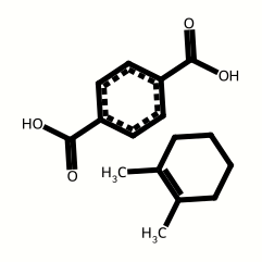 CC1=C(C)CCCC1.O=C(O)c1ccc(C(=O)O)cc1